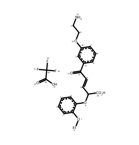 CCOc1ccccc1OC(C=CC(=O)c1cccc(OCCN)c1)C(=O)O.O=C(O)C(F)(F)F